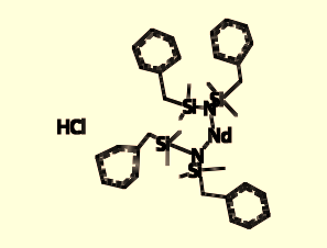 C[Si](C)(Cc1ccccc1)[N]([Nd][N]([Si](C)(C)Cc1ccccc1)[Si](C)(C)Cc1ccccc1)[Si](C)(C)Cc1ccccc1.Cl